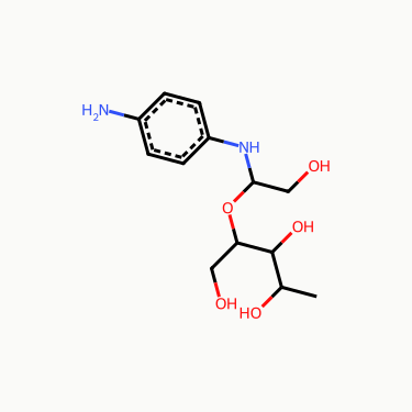 CC(O)C(O)C(CO)OC(CO)Nc1ccc(N)cc1